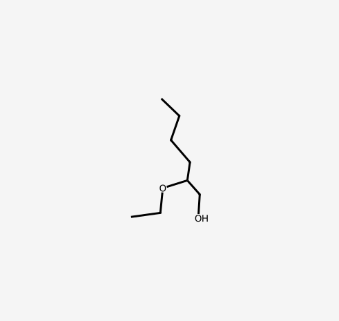 CCCCC(CO)OCC